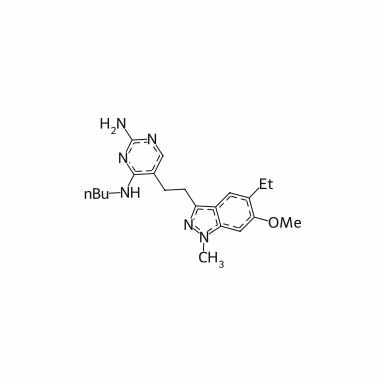 CCCCNc1nc(N)ncc1CCc1nn(C)c2cc(OC)c(CC)cc12